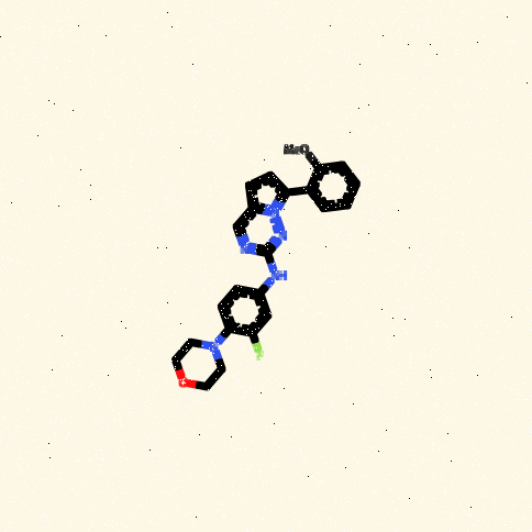 COc1ccccc1-c1ccc2cnc(Nc3ccc(N4CCOCC4)c(F)c3)nn12